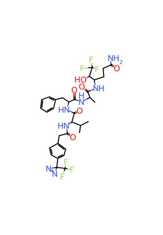 CC(NC(=O)C(Cc1ccccc1)NC(=O)C(NC(=O)Cc1ccc(C2(C(F)(F)F)N=N2)cc1)C(C)C)C(=O)NC(CCC(N)=O)C(O)C(F)(F)F